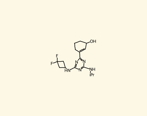 CC(C)Nc1nc(NC2CC(F)(F)C2)nc(C2=CC(O)CCC2)n1